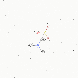 CN(C)C=O.[O-][S+](Br)Br